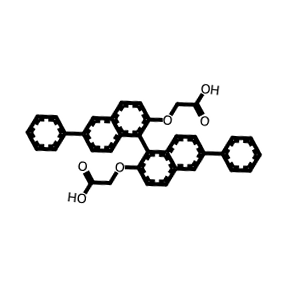 O=C(O)COc1ccc2cc(-c3ccccc3)ccc2c1-c1c(OCC(=O)O)ccc2cc(-c3ccccc3)ccc12